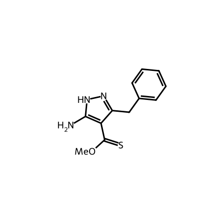 COC(=S)c1c(Cc2ccccc2)n[nH]c1N